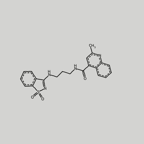 Cc1cc(C(=O)NCCCNC2=NS(=O)(=O)c3ccccc32)c2ccccc2n1